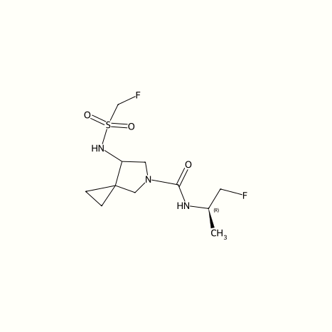 C[C@H](CF)NC(=O)N1CC(NS(=O)(=O)CF)C2(CC2)C1